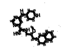 COC(CNC(=N)c1cc(NC2CCNCC2)ncn1)CN1CCc2ccccc2C1